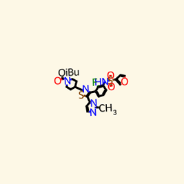 Cc1nccc(-c2sc(C3CCN(C(=O)OCC(C)C)CC3)nc2-c2cccc(NS(=O)(=O)c3ccoc3)c2F)n1